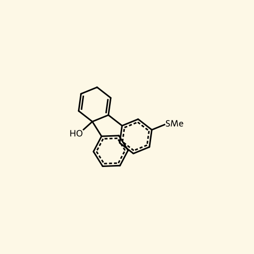 CSc1cccc(C2=CCC=CC2(O)c2ccccc2)c1